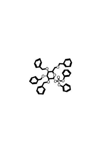 O=P(Oc1ccccc1)(Oc1ccccc1)O[C@H]1OC(COCc2ccccc2)[C@H](OCc2ccccc2)[C@@H](OCc2ccccc2)C1OCc1ccccc1